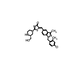 Cc1cc(Cl)ccc1Cn1nc(C)c2cc(/C=C3\SC(N4CCN[C@H](CO)C4)=NC3=O)ccc21